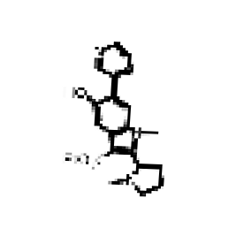 CCOC(=O)c1c(C2CCCN2C)n(C)c2cc(-c3cccnc3)c(O)cc12